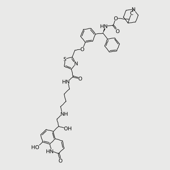 O=C(N[C@@H](c1ccccc1)c1cccc(OCc2nc(C(=O)NCCCCNCC(O)c3ccc(O)c4[nH]c(=O)ccc34)cs2)c1)OC1CN2CCC1CC2